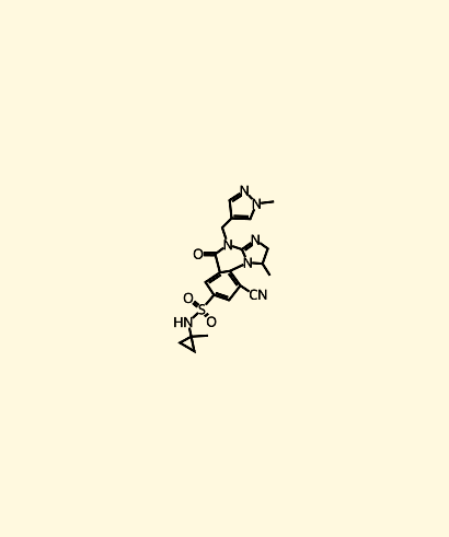 CC1CN=C2N(Cc3cnn(C)c3)C(=O)c3cc(S(=O)(=O)NC4(C)CC4)cc(C#N)c3N21